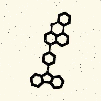 c1ccc2c(c1)Oc1ccc(-c3ccc(-n4c5ccccc5c5ccccc54)cc3)c3cccc-2c13